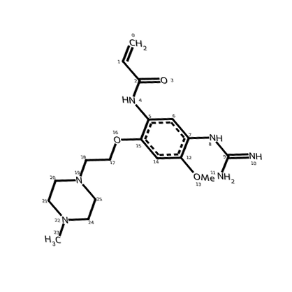 C=CC(=O)Nc1cc(NC(=N)N)c(OC)cc1OCCN1CCN(C)CC1